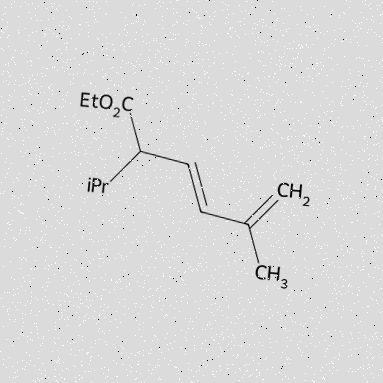 C=C(C)/C=C/C(C(=O)OCC)C(C)C